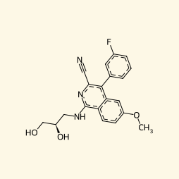 COc1ccc2c(NC[C@@H](O)CO)nc(C#N)c(-c3cccc(F)c3)c2c1